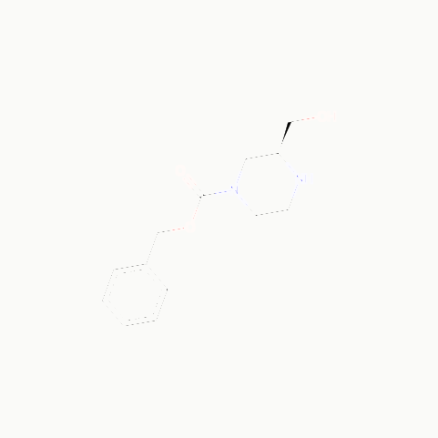 O=C(OCc1ccccc1)N1CCN[C@H](CO)C1